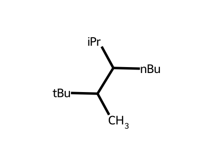 CCCCC(C(C)C)C(C)C(C)(C)C